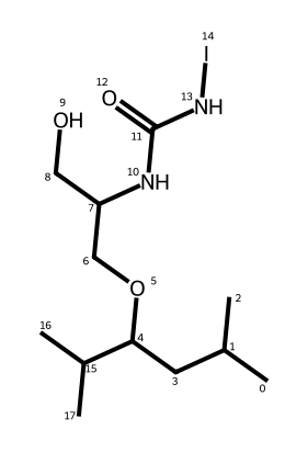 CC(C)CC(OCC(CO)NC(=O)NI)C(C)C